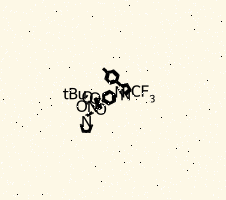 Cc1ccc(-c2cc(C(F)(F)F)nn2-c2ccc(S(=O)(=O)N(CCN3CCCC3)C(=O)OC(C)(C)C)cc2)cc1